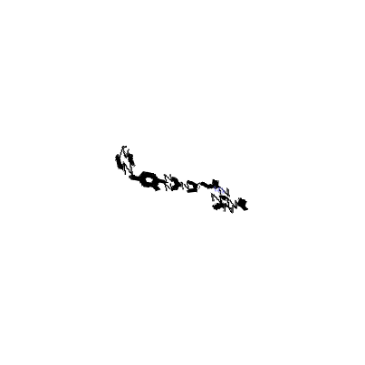 C=C(C)n1nc(C)nc1/N=C(/C)CC[C@@H]1CCN(c2cnc(-c3ccc(CN4CCN(C)CC4)cc3C)nc2)C1